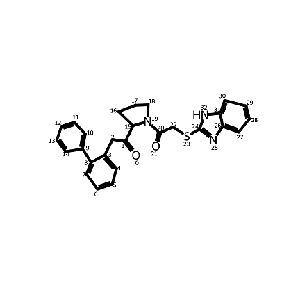 O=C(Cc1ccccc1-c1ccccc1)C1CCCN1C(=O)CSc1nc2ccccc2[nH]1